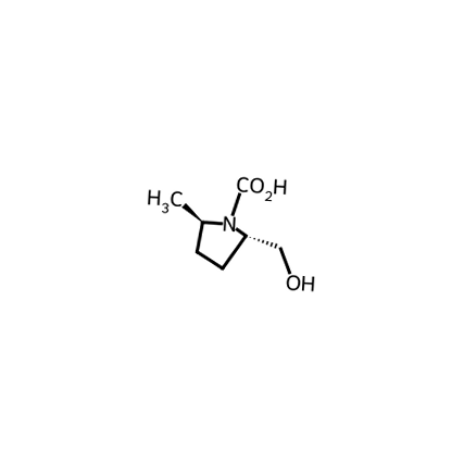 C[C@@H]1CC[C@@H](CO)N1C(=O)O